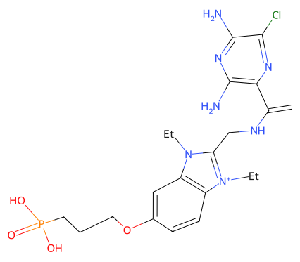 C=C(NCc1n(CC)c2cc(OCCCP(=O)(O)O)ccc2[n+]1CC)c1nc(Cl)c(N)nc1N